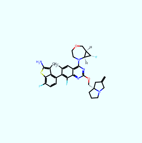 C=C1CN2CCC[C@@]2(COc2nc(N3CCOC[C@H]4[C@H](F)[C@H]43)c3cc(C(F)(F)F)c(-c4ccc(F)c5sc(N)c(C#N)c45)c(F)c3n2)C1